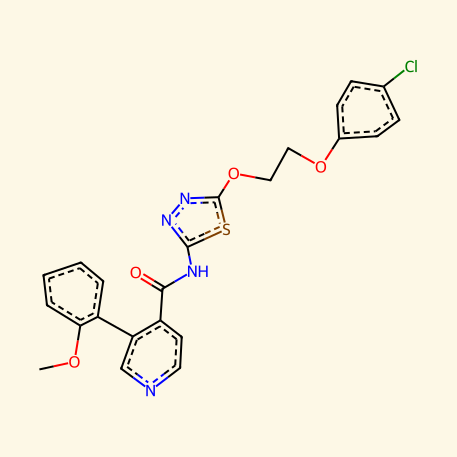 COc1ccccc1-c1cnccc1C(=O)Nc1nnc(OCCOc2ccc(Cl)cc2)s1